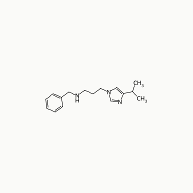 CC(C)c1cn(CCCNCc2ccccc2)cn1